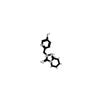 O=c1n(Cc2ccc(F)cn2)nc2n1CCCC2